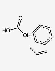 C=CC.O=C(O)O.c1ccccc1